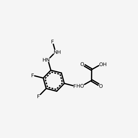 FNNc1cc(F)cc(F)c1F.O=C(O)C(=O)O